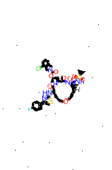 O=C1N[C@]2(C(=O)NS(=O)(=O)C3CC3)C[C@H]2/C=C\COCCC[C@H](Nc2nc(C3=CC=C(F)CC3)cs2)C(=O)N2C[C@H](OC(=O)N3Cc4cccc(Cl)c4C3)C[C@@H]12